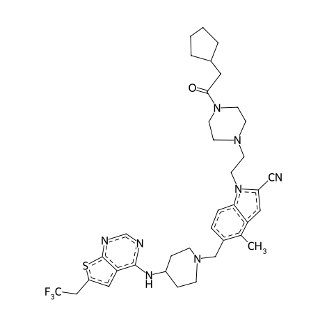 Cc1c(CN2CCC(Nc3ncnc4sc(CC(F)(F)F)cc34)CC2)ccc2c1cc(C#N)n2CCN1CCN(C(=O)CC2CCCC2)CC1